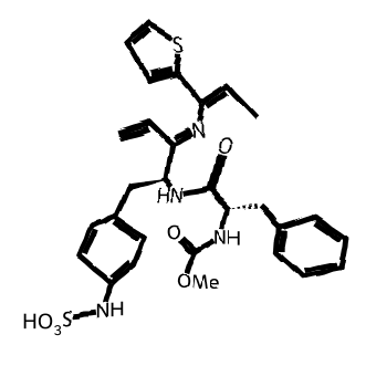 C=C/C(=N\C(=C/C)c1cccs1)[C@H](Cc1ccc(NS(=O)(=O)O)cc1)NC(=O)[C@H](Cc1ccccc1)NC(=O)OC